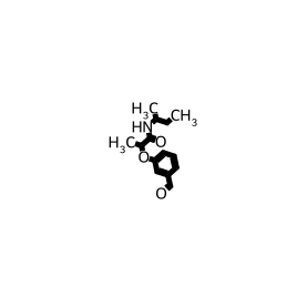 CCC(C)NC(=O)C(C)Oc1cccc(C=O)c1